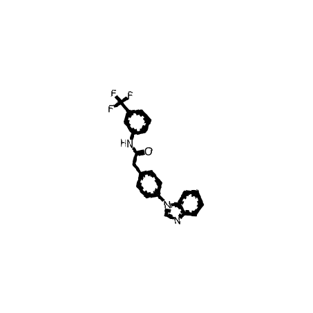 O=C(Cc1ccc(-n2cnc3ccccc32)cc1)Nc1cccc(C(F)(F)F)c1